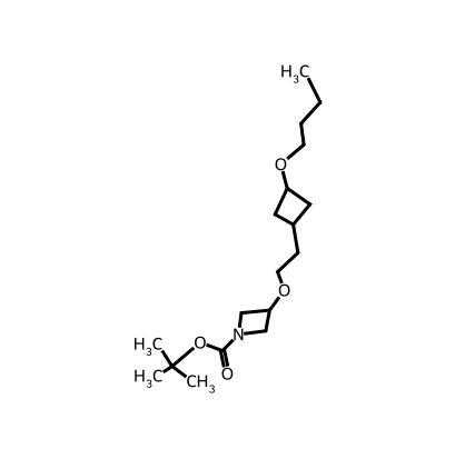 CCCCOC1CC(CCOC2CN(C(=O)OC(C)(C)C)C2)C1